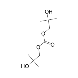 CC(C)(O)COC(=O)OCC(C)(C)O